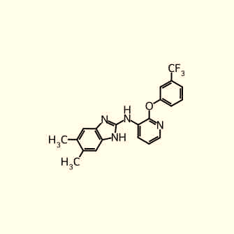 Cc1cc2nc(Nc3cccnc3Oc3cccc(C(F)(F)F)c3)[nH]c2cc1C